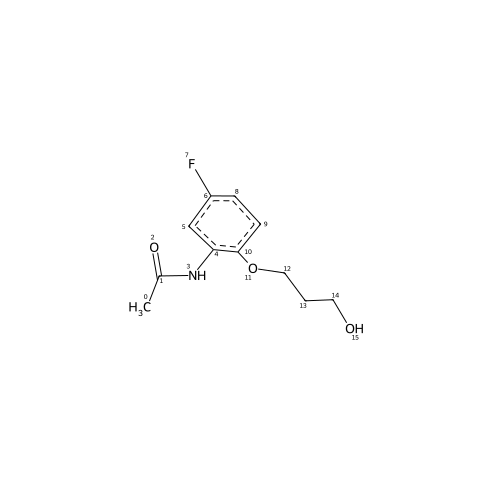 CC(=O)Nc1cc(F)ccc1OCCCO